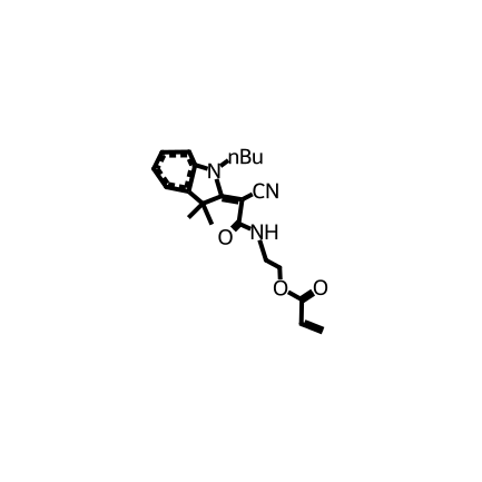 C=CC(=O)OCCNC(=O)/C(C#N)=C1/N(CCCC)c2ccccc2C1(C)C